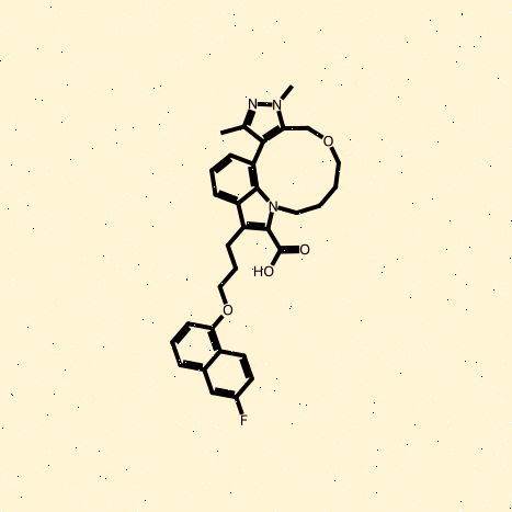 Cc1nn(C)c2c1-c1cccc3c(CCCOc4cccc5cc(F)ccc45)c(C(=O)O)n(c13)CCCCOC2